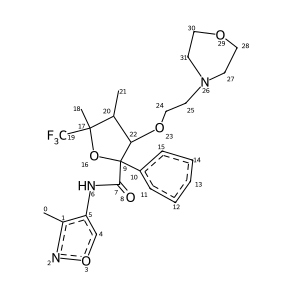 Cc1nocc1NC(=O)C1(c2ccccc2)OC(C)(C(F)(F)F)C(C)C1OCCN1CCOCC1